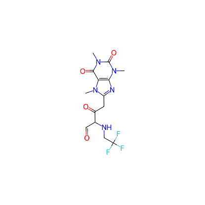 Cn1c(=O)c2c(nc(CC(=O)C(C=O)NCC(F)(F)F)n2C)n(C)c1=O